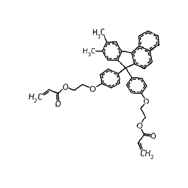 C=CC(=O)OCCOc1ccc(C2(c3ccc(OCCOC(=O)C=C)cc3)c3cc(C)c(C)cc3-c3c2ccc2ccccc32)cc1